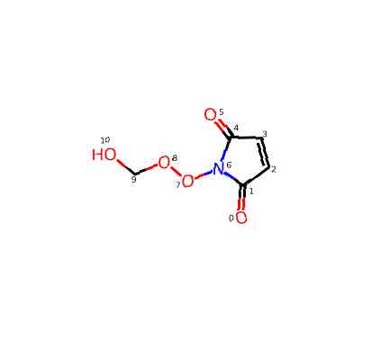 O=C1C=CC(=O)N1OOCO